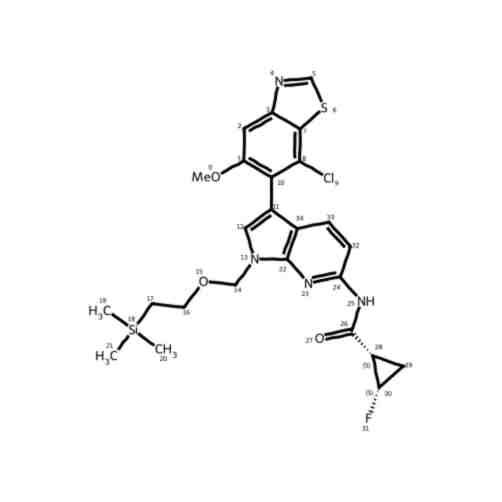 COc1cc2ncsc2c(Cl)c1-c1cn(COCC[Si](C)(C)C)c2nc(NC(=O)[C@@H]3C[C@@H]3F)ccc12